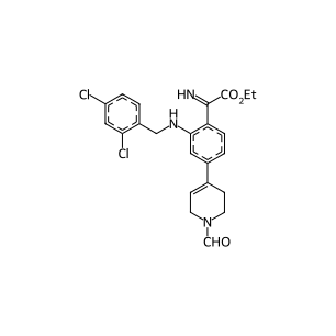 CCOC(=O)C(=N)c1ccc(C2=CCN(C=O)CC2)cc1NCc1ccc(Cl)cc1Cl